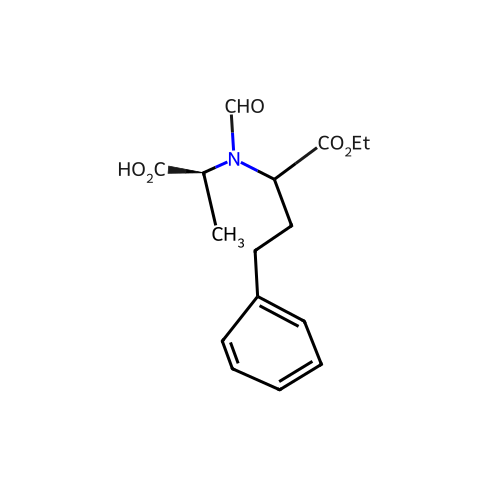 CCOC(=O)C(CCc1ccccc1)N(C=O)[C@@H](C)C(=O)O